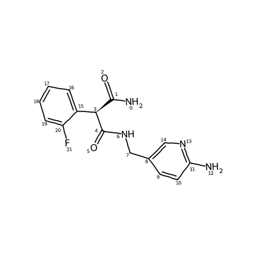 NC(=O)[C@@H](C(=O)NCc1ccc(N)nc1)c1ccccc1F